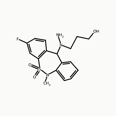 CN1c2ccccc2C(N(N)CCCO)c2ccc(F)cc2S1(=O)=O